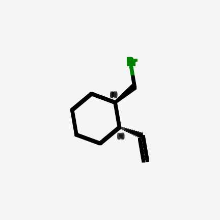 C=C[C@@H]1CCCC[C@H]1CBr